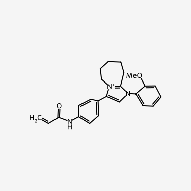 C=CC(=O)Nc1ccc(-c2cn(-c3ccccc3OC)c3[n+]2CCCCC3)cc1